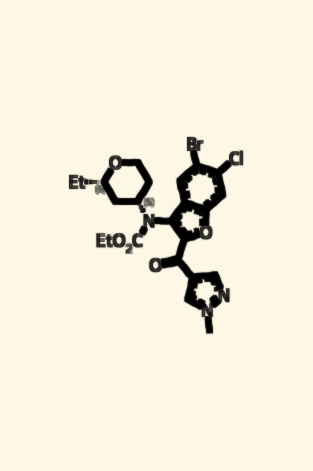 CCOC(=O)N(c1c(C(=O)c2cnn(C)c2)oc2cc(Cl)c(Br)cc12)[C@H]1CCO[C@@H](CC)C1